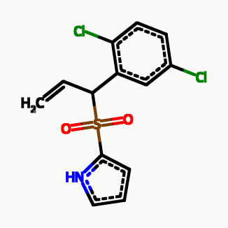 C=CC(c1cc(Cl)ccc1Cl)S(=O)(=O)c1ccc[nH]1